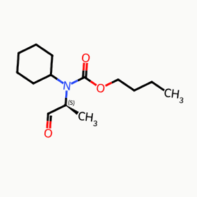 CCCCOC(=O)N(C1CCCCC1)[C@@H](C)C=O